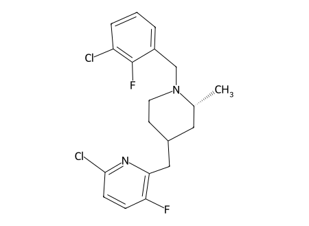 C[C@@H]1CC(Cc2nc(Cl)ccc2F)CCN1Cc1cccc(Cl)c1F